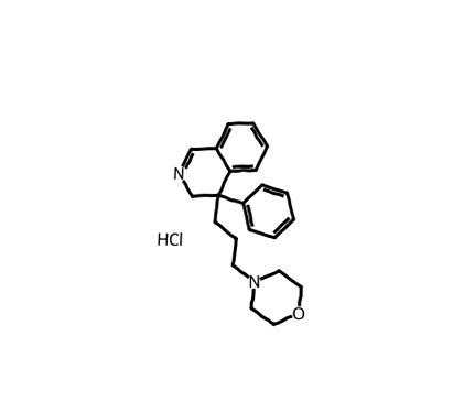 C1=NCC(CCCN2CCOCC2)(c2ccccc2)c2ccccc21.Cl